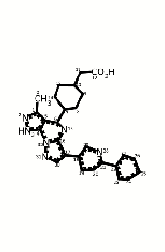 Cc1n[nH]c2c1c(C1CCC(CC(=O)O)CC1)nc1c(-c3ccc(-c4ccccc4)nc3)cnn12